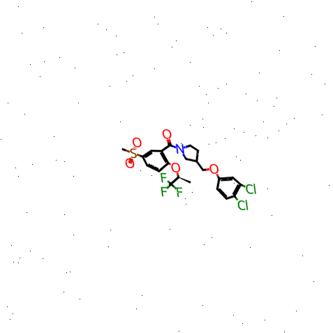 C[C@H](Oc1ccc(S(C)(=O)=O)cc1C(=O)N1CCC(COc2ccc(Cl)c(Cl)c2)C1)C(F)(F)F